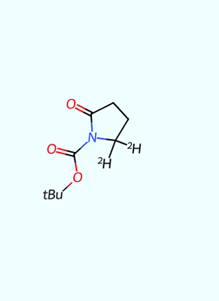 [2H]C1([2H])CCC(=O)N1C(=O)OC(C)(C)C